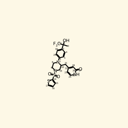 CC(O)(c1ccc(N2CCN(S(=O)(=O)c3cccs3)CC2Cc2cc[nH]c(=O)c2)cc1)C(F)(F)F